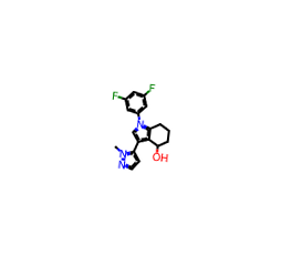 Cn1nccc1-c1cn(-c2cc(F)cc(F)c2)c2c1C(O)CCC2